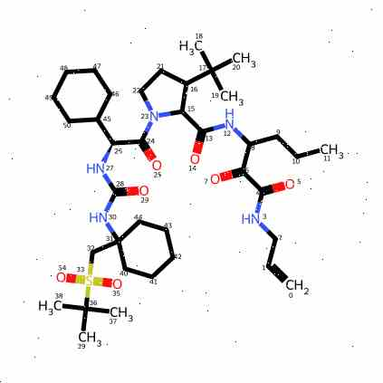 C=CCNC(=O)C(=O)C(CCC)NC(=O)C1C(C(C)(C)C)CCN1C(=O)[C@@H](NC(=O)NC1(CS(=O)(=O)C(C)(C)C)CCCCC1)C1CCCCC1